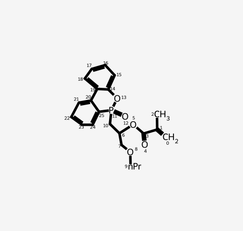 C=C(C)C(=O)OC(COCCC)CP1(=O)Oc2ccccc2-c2ccccc21